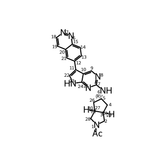 CC(=O)N1C[C@H]2C[C@@H](Nc3ncc4c(-c5ccc6nnccc6c5)c[nH]c4n3)C[C@H]2C1